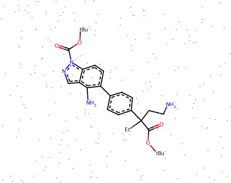 CCC(CCN)(C(=O)OC(C)(C)C)c1ccc(-c2ccc3c(cnn3C(=O)OC(C)(C)C)c2N)cc1